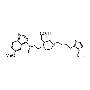 COc1ccc2nccc([C@H](F)CC[C@@H]3CCN(CCCCc4nccn4C)C[C@@H]3CC(=O)O)c2c1